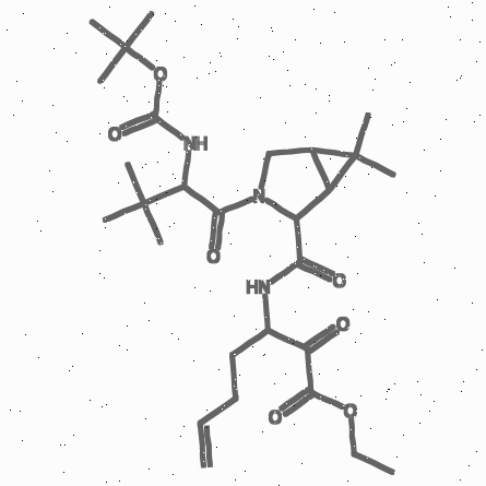 C=CCCC(NC(=O)C1C2C(CN1C(=O)C(NC(=O)OC(C)(C)C)C(C)(C)C)C2(C)C)C(=O)C(=O)OCC